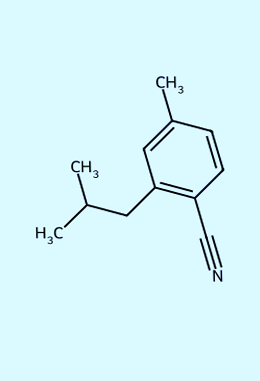 Cc1ccc(C#N)c(CC(C)C)c1